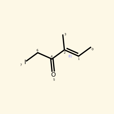 C/C=C(\C)C(=O)CI